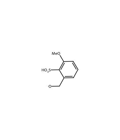 COc1cccc(C[O])c1S(=O)(=O)O